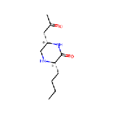 CCCC[C@@H]1NC[C@H](CC(C)=O)NC1=O